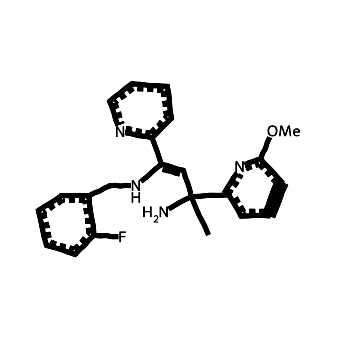 COc1c#ccc(C(C)(N)/C=C(\NCc2ccccc2F)c2ccccn2)n1